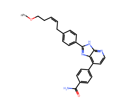 CCCOCC/C=C\Cc1ccc(-c2nc3c(-c4ccc(C(N)=O)cc4)ccnc3[nH]2)cc1